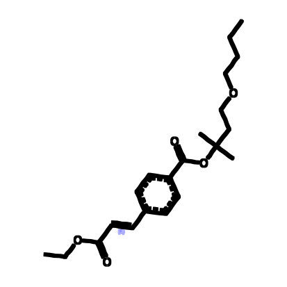 CCCCOCCC(C)(C)OC(=O)c1ccc(/C=C/C(=O)OCC)cc1